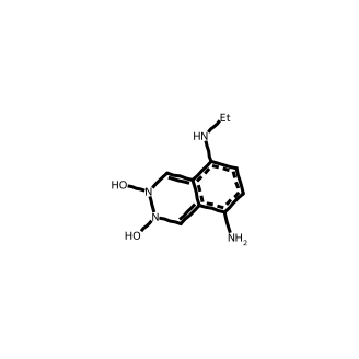 CCNc1ccc(N)c2c1=CN(O)N(O)C=2